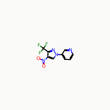 O=[N+]([O-])c1cn(-c2cccnc2)nc1C(F)(F)F